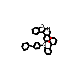 c1ccc(-c2ccc(N(c3ccc4cnc5oc6ccccc6c5c4c3)c3ccccc3-c3ccccc3)cc2)cc1